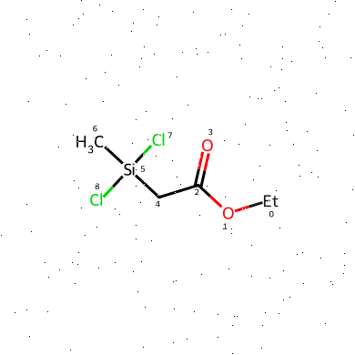 CCOC(=O)C[Si](C)(Cl)Cl